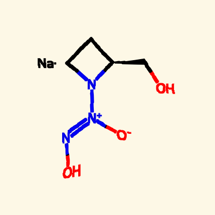 [Na].[O-][N+](=NO)N1CC[C@H]1CO